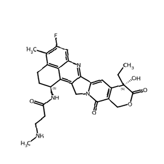 CC[C@@]1(O)C(=O)OCc2c1cc1n(c2=O)Cc2c-1nc1cc(F)c(C)c3c1c2[C@@H](NC(=O)CCNC)CC3